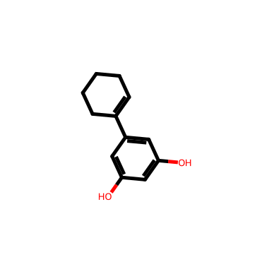 Oc1cc(O)cc(C2=CCCCC2)c1